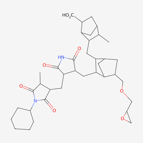 CC1C(=O)N(C2CCCCC2)C(=O)C1CC1C(=O)NC(=O)C1CC1C2CC(CC2COCC2CO2)C1CC1C(C)C2CC(C(=O)O)C1C2